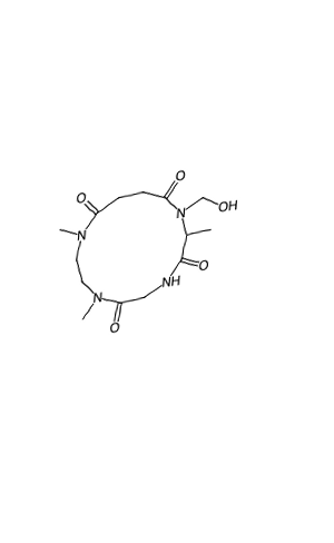 CC1C(=O)NCC(=O)N(C)CCN(C)C(=O)CCC(=O)N1CO